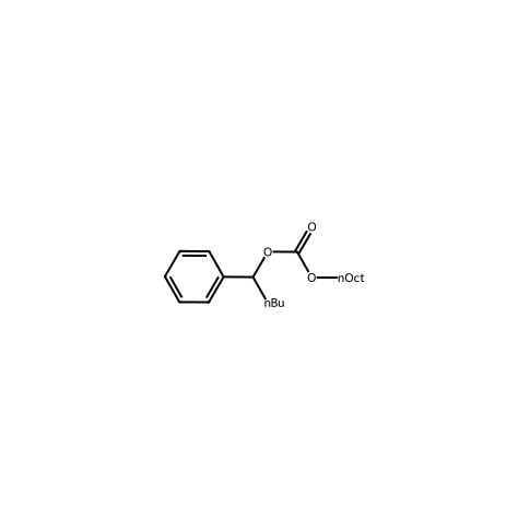 CCCCCCCCOC(=O)OC(CCCC)c1ccccc1